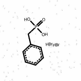 Br.Br.O=P(O)(O)Cc1ccccc1